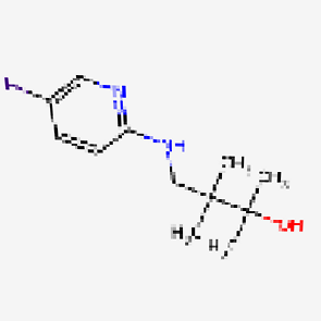 CC(C)(O)C(C)(C)CNc1ccc(I)cn1